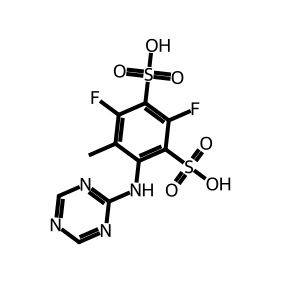 Cc1c(F)c(S(=O)(=O)O)c(F)c(S(=O)(=O)O)c1Nc1ncncn1